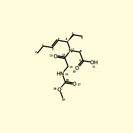 CCC=C[C@@H](CC)N(CC(=O)O)C(=O)CNC(=O)OC